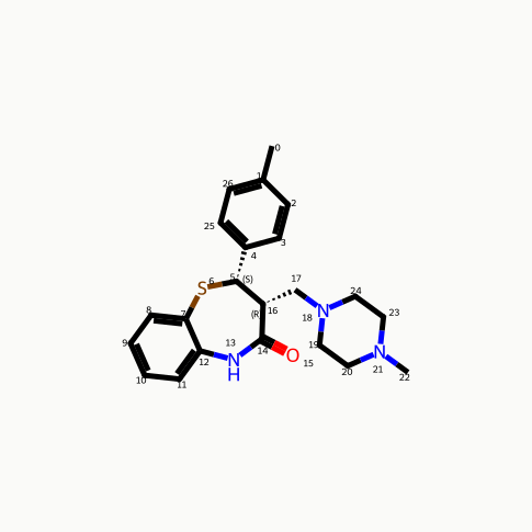 Cc1ccc([C@H]2Sc3ccccc3NC(=O)[C@H]2CN2CCN(C)CC2)cc1